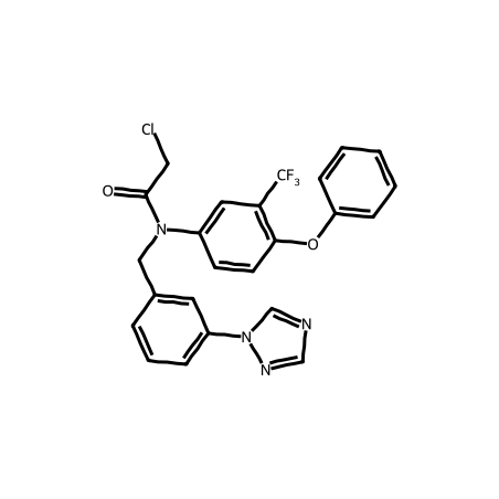 O=C(CCl)N(Cc1cccc(-n2cncn2)c1)c1ccc(Oc2ccccc2)c(C(F)(F)F)c1